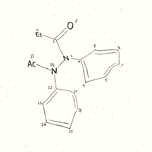 CCC(=O)N(c1ccccc1)N(C(C)=O)c1ccccc1